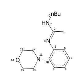 CCCCN/C(C)=N/c1ccccc1N1CCOCC1